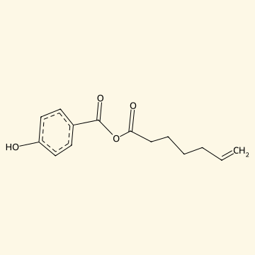 C=CCCCCC(=O)OC(=O)c1ccc(O)cc1